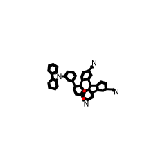 N#Cc1ccc(-c2cccc(-n3c4ccccc4c4ccccc43)c2)c(-c2ccc(C#N)cc2C2c3ccccc3-c3cc(C#N)ccc32)c1